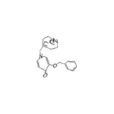 O=c1ccn(CC23CCN(CC2)CC3)cc1OCc1ccccc1